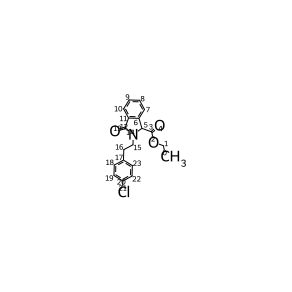 CCOC(=O)C1c2ccccc2C(=O)N1CCc1ccc(Cl)cc1